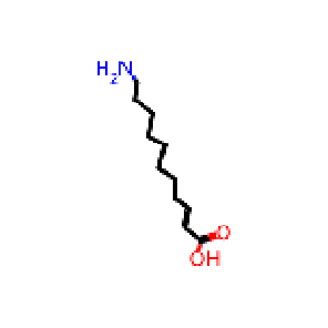 NCCCCCCCC/C=C/C(=O)O